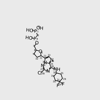 OP(O)CP(O)OCC1CCC(c2cnc3c(NC4CCC(F)(F)CC4)nc(Cl)nn23)O1